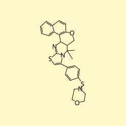 CC1(C)C2COc3ccc4ccccc4c3C2N=C2SC=C(c3ccc(SN4CCOCC4)cc3)N21